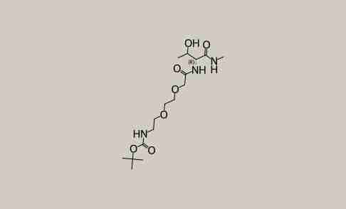 CNC(=O)[C@H](NC(=O)COCCOCCNC(=O)OC(C)(C)C)C(C)O